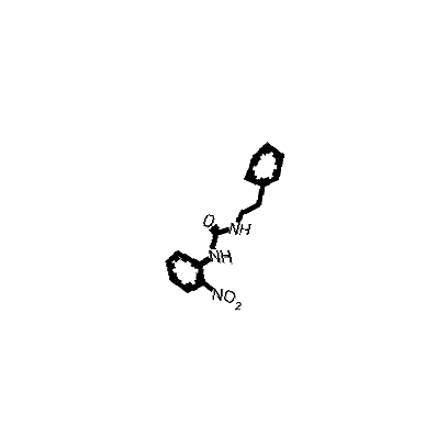 O=C(NCCc1ccccc1)Nc1ccccc1[N+](=O)[O-]